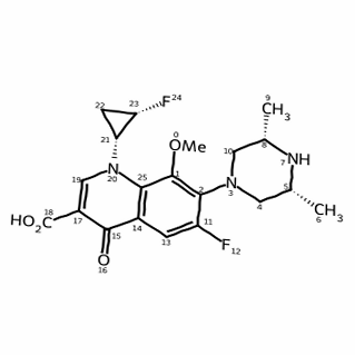 COc1c(N2C[C@@H](C)N[C@@H](C)C2)c(F)cc2c(=O)c(C(=O)O)cn([C@@H]3C[C@@H]3F)c12